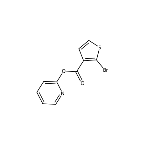 O=C(Oc1ccccn1)c1ccsc1Br